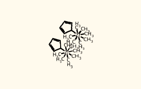 [CH3][Zr]([CH3])([CH3])([CH3])([CH3])([CH3])([CH3])[CH]1C=CC=C1.[CH3][Zr]([CH3])([CH3])([CH3])([CH3])([CH3])([CH3])[CH]1C=CC=C1